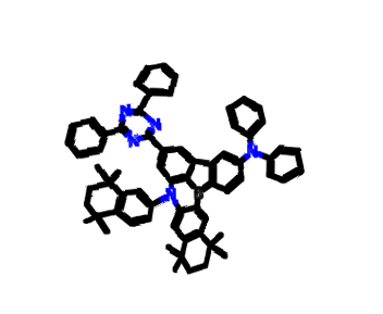 CC1(C)CCC(C)(C)c2cc(N3c4cc5c(cc4B4c6ccc(N(c7ccccc7)c7ccccc7)cc6-c6cc(-c7nc(-c8ccccc8)nc(-c8ccccc8)n7)cc3c64)C(C)(C)CCC5(C)C)ccc21